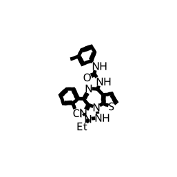 CCN1N=C2C(c3ccccc3Cl)=NC(NC(=O)Nc3cccc(C)c3)c3ccsc3N2N1